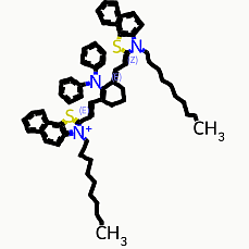 CCCCCCCCCCN1/C(=C/C=C2\CCCC(/C=C/c3sc4c5ccccc5ccc4[n+]3CCCCCCCCCC)=C2N(c2ccccc2)c2ccccc2)Sc2c1ccc1ccccc21